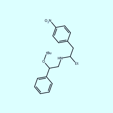 CCC(Cc1ccc([N+](=O)[O-])cc1)NCC(OC(C)(C)C)c1ccccc1